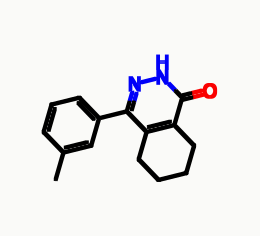 Cc1cccc(-c2n[nH]c(=O)c3c2CCCC3)c1